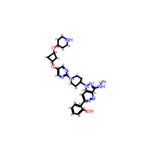 CC(C)Nc1nn(C2CCN(c3ncc(OC4CC(OC5CCNCC5)C4)cn3)CC2)c2cc(-c3ccccc3O)nnc12